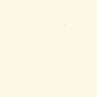 Cc1noc(C)c1-c1cc(C(N)=O)c2c(c1)c1ccc(N(C)C(=O)O)cc1n2CC1CC1